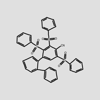 N#Cc1c(S(=O)(=O)c2ccccc2)cc(-c2ccccc2-c2ccccc2)c(S(=O)(=O)c2ccccc2)c1S(=O)(=O)c1ccccc1